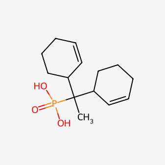 CC(C1C=CCCC1)(C1C=CCCC1)P(=O)(O)O